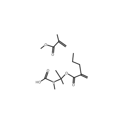 C=C(C)C(=O)OC.C=C(CCC)C(=O)OC(C)(C)N(C)C(=O)O